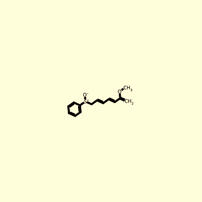 C=C(/C=C/C=C/C[S+]([O-])c1ccccc1)OC